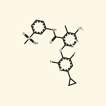 Cc1c(C(F)(F)F)nnc(Oc2c(F)cc(C3CC3)nc2F)c1C(=O)Nc1cccc(S(C)(=N)=O)c1